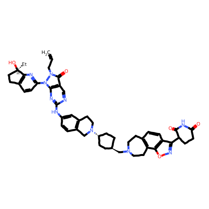 C=CCn1c(=O)c2cnc(Nc3ccc4c(c3)CCN([C@H]3CC[C@H](CN5CCc6ccc7c(C8CCC(=O)NC8=O)noc7c6CC5)CC3)C4)nc2n1-c1ccc2c(n1)[C@@](O)(CC)CC2